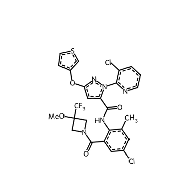 COC1(C(F)(F)F)CN(C(=O)c2cc(Cl)cc(C)c2NC(=O)c2cc(Oc3ccsc3)nn2-c2ncccc2Cl)C1